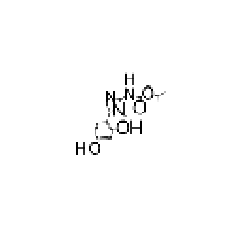 CC(C)OC(=O)NC1=NCC(c2ccc(O)cc2O)N1C